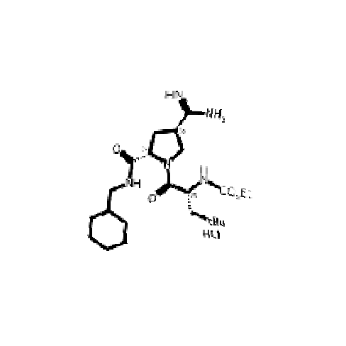 CCOC(=O)N[C@H](CC(C)(C)C)C(=O)N1C[C@H](C(=N)N)C[C@H]1C(=O)NCC1CCCCC1.Cl